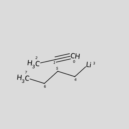 C#CC.[Li][CH2]CCC